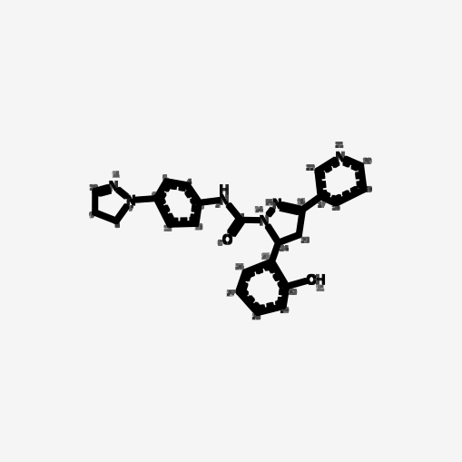 O=C(Nc1ccc(N2CCC=N2)cc1)N1N=C(c2cccnc2)CC1c1ccccc1O